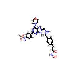 CCn1c(CN(C)Cc2ccc(C=CC(=O)NO)cc2)nc2c(N3CCOCC3)nc(-c3ccc(NS(C)(=O)=O)cc3)nc21